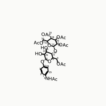 CC(=O)Nc1ccc(O[C@H]2OC(COC(C)=O)[C@@H](O[C@H]3OC(COC(C)=O)[C@@H](OC(C)=O)C(OC(C)=O)[C@H]3OC(C)=O)C(O)C2O)cc1